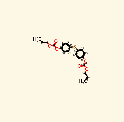 C=CCOC(=O)Oc1ccc(Sc2ccc(OC(=O)OCC=C)cc2)cc1